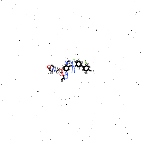 C=CC(=O)Nc1cc2c(Nc3cc(-c4ccc(C)cc4F)ccc3F)ncnc2cc1OCCN1CCOCC1